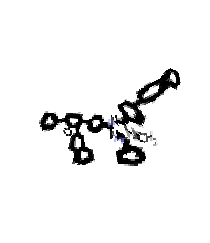 C=N/C(=N\C(=N/Cc1ccc(-c2ccc3ccccc3c2)cc1)c1ccc(-c2ccc(-c3ccccc3)c3oc4cc5ccccc5cc4c23)cc1)c1ccccc1